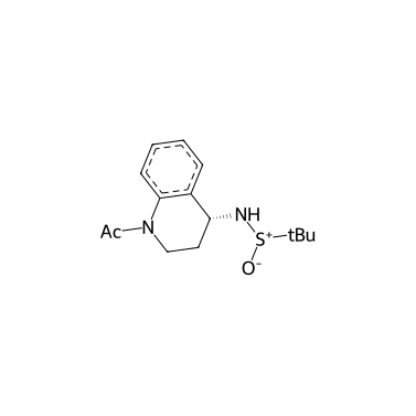 CC(=O)N1CC[C@@H](N[S+]([O-])C(C)(C)C)c2ccccc21